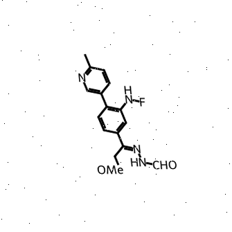 COC/C(=N\NC=O)c1ccc(-c2ccc(C)nc2)c(NF)c1